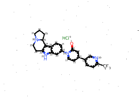 Cl.O=c1cc(-c2ccc(C(F)(F)F)nc2)ccn1-c1ccc2c3c([nH]c2c1)CCN1CCCC31